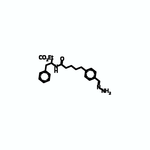 CCOC(=O)C(Cc1ccccc1)NC(=O)CCCCc1ccc(C=NN)cc1